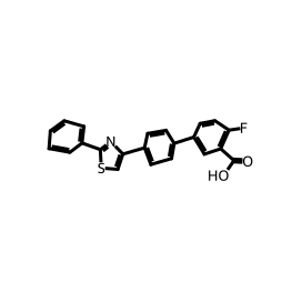 O=C(O)c1cc(-c2ccc(-c3csc(-c4ccccc4)n3)cc2)ccc1F